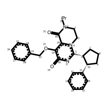 CC(C)N1CCn2c([C@@H]3CCC[C@@H]3c3ccccc3)nc(=O)c(OCc3ccccc3)c2C1=O